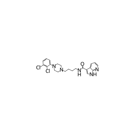 O=C(NCCCCN1CCN(c2cccc(Cl)c2Cl)CC1)c1c[nH]c2ncccc12